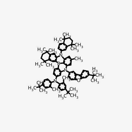 Cc1cc2c3c(c1)N(c1ccc4c(c1)C(C)(C)CCC4(C)C)c1cc4c(cc1B3c1ccc(N(c3ccc(C(C)(C)C)cc3C)c3ccc(C(C)(C)C)cc3C)cc1N2c1ccc2oc3cc(C(C)(C)C)ccc3c2c1)C(C)(C)CCC4(C)C